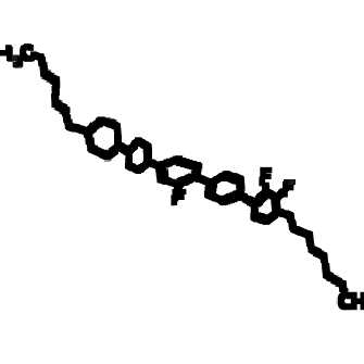 CCCCCCCCc1ccc(-c2ccc(-c3ccc(C4=CCC(C5CCC(CCCCCCC)CC5)CC4)cc3F)cc2)c(F)c1F